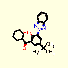 CC(C)(C)c1cc(C(=O)C2CCCCC2)c(O)c(-n2nc3ccccc3n2)c1